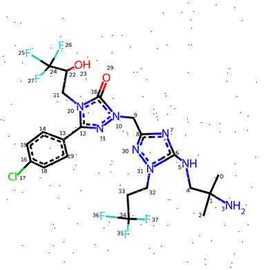 CC(C)(N)CNc1nc(Cn2nc(-c3ccc(Cl)cc3)n(CC(O)C(F)(F)F)c2=O)nn1CCC(F)(F)F